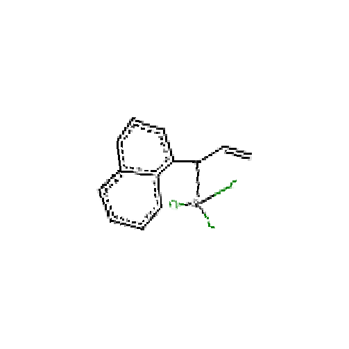 C=CC(c1cccc2ccccc12)[Si](Cl)(Cl)Cl